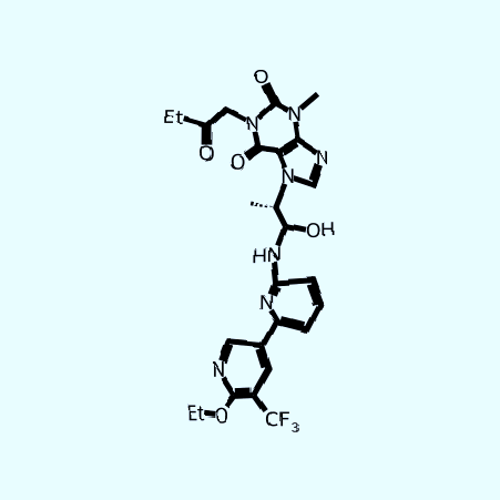 CCOc1ncc(-c2cccc(NC(O)[C@H](C)n3cnc4c3c(=O)n(CC(=O)CC)c(=O)n4C)n2)cc1C(F)(F)F